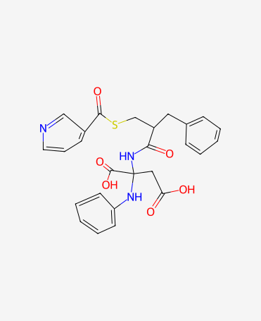 O=C(O)CC(NC(=O)C(CSC(=O)c1cccnc1)Cc1ccccc1)(Nc1ccccc1)C(=O)O